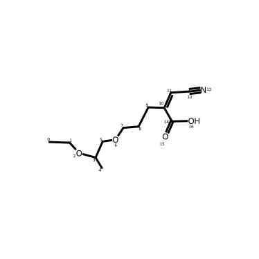 CCOC(C)COCCCC(=CC#N)C(=O)O